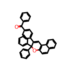 O=C(c1ccccc1)c1ccc(C2=Cc3c(ccc4ccccc34)OC2(c2ccccc2)c2ccccc2)cc1